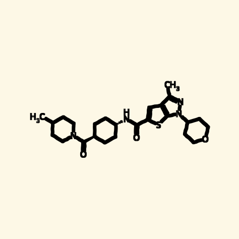 Cc1nn(C2CCOCC2)c2sc(C(=O)N[C@H]3CC[C@H](C(=O)N4CCC(C)CC4)CC3)cc12